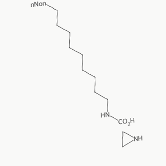 C1CN1.CCCCCCCCCCCCCCCCCCNC(=O)O